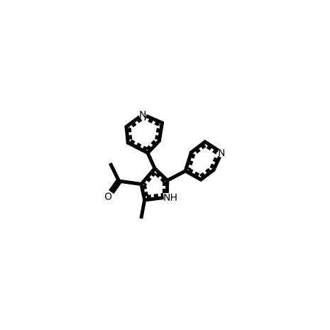 CC(=O)c1c(C)[nH]c(-c2ccncc2)c1-c1ccncc1